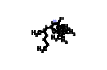 CCCCC(C)C[C@@H](/C=C/I)O[Si](C)(C)C(C)(C)C